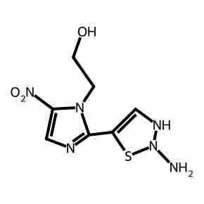 NN1NC=C(c2ncc([N+](=O)[O-])n2CCO)S1